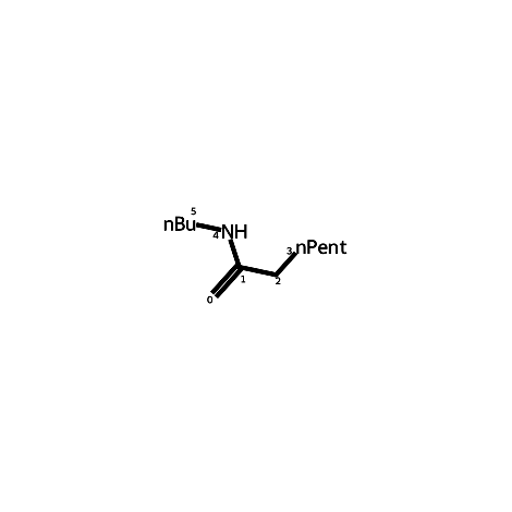 C=C(CCCCCC)NCCCC